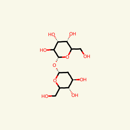 OCC1O[C@H](O[C@H]2OC(CO)[C@@H](O)[C@@H](O)C2O)C[C@@H](O)[C@@H]1O